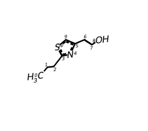 CCCc1nc(CCO)cs1